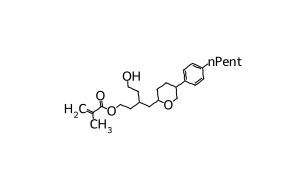 C=C(C)C(=O)OCCC(CCO)CC1CCC(c2ccc(CCCCC)cc2)CO1